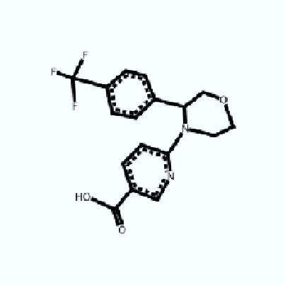 O=C(O)c1ccc(N2CCOCC2c2ccc(C(F)(F)F)cc2)nc1